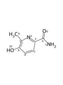 Cc1nc(C(N)=O)ccc1O